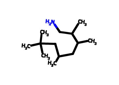 CC(CC(C)C(C)CN)CC(C)(C)C